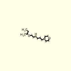 CCC(C)OCCNCCCN1CCOCC1